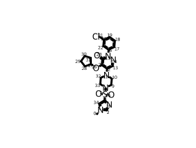 Cn1cnc(S(=O)(=O)N2CCN(c3cnn(-c4cccc(Cl)c4)c(=O)c3OC3CCCC3)CC2)c1